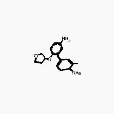 CNC1CC=C(c2cc(N)ccc2OC2CCOC2)C=C1C